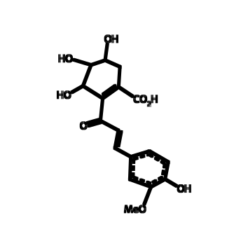 COc1cc(C=CC(=O)C2=C(C(=O)O)CC(O)C(O)C2O)ccc1O